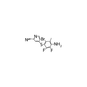 Cc1c(N)c(F)c(F)c(Sc2ccnc(C#N)c2)c1Br